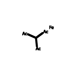 CC(=O)C(C(C)=O)C(C)=O.[Fe]